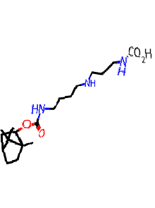 CC1(C)C2CCC1(C)C(OC(=O)NCCCCNCCCNC(=O)O)C2